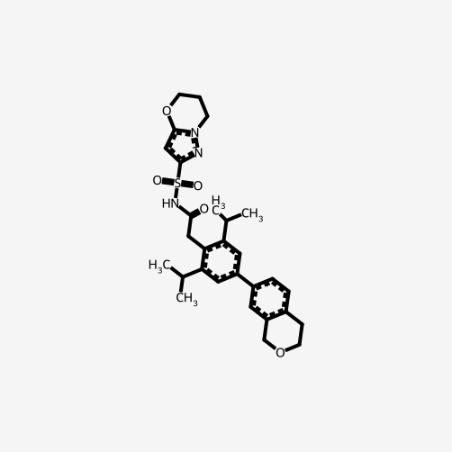 CC(C)c1cc(-c2ccc3c(c2)COCC3)cc(C(C)C)c1CC(=O)NS(=O)(=O)c1cc2n(n1)CCCO2